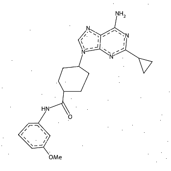 COc1cccc(NC(=O)C2CCC(n3cnc4c(N)nc(C5CC5)nc43)CC2)c1